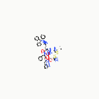 CC(C)c1nc(CN(C)C(=O)N[C@@H](CCc2cn(C(c3ccccc3)(c3ccccc3)c3ccccc3)cn2)C(=O)N[C@@H](CC[C@@H](Cc2ccccc2)NC(=O)OCc2cncs2)Cc2ccccc2)cs1